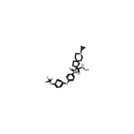 O=C(NO)C1(S(=O)(=O)c2ccc(Oc3ccc(OC(F)(F)F)cc3)cc2)CCC2(CCN(C3CC3)CC2)C1